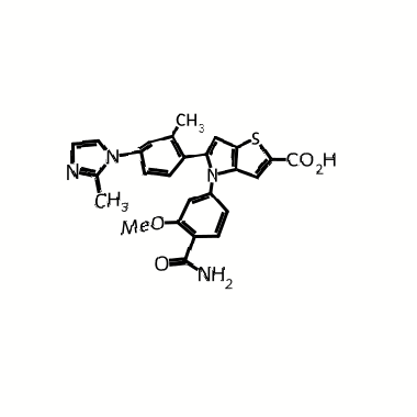 COc1cc(-n2c(-c3ccc(-n4ccnc4C)cc3C)cc3sc(C(=O)O)cc32)ccc1C(N)=O